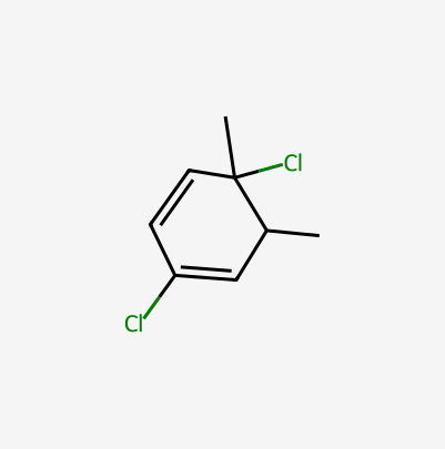 CC1C=C(Cl)C=CC1(C)Cl